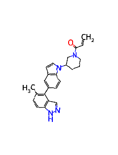 C=CC(=O)N1CCCC(n2ccc3cc(-c4c(C)ccc5[nH]ncc45)ccc32)C1